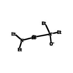 CCN(CC)CC.CC[N+]([O-])(CC)CC